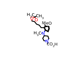 COc1cccc(N(C)C2CCN(C(=O)O)CC2)c1CCCC1COC(C)(C)O1